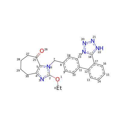 CCOc1nc2c(n1Cc1ccc(-c3ccccc3-c3nnn[nH]3)cc1)C(=O)CCCC2